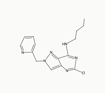 CCCCNc1nc(Cl)nc2cn(Cc3ccccn3)nc12